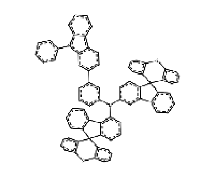 c1ccc(-n2c3ccccc3c3ccc(-c4cccc(N(c5ccc6c(c5)-c5ccccc5C65c6ccccc6Sc6ccccc65)c5cccc6c5-c5ccccc5C65c6ccccc6Sc6ccccc65)c4)cc32)cc1